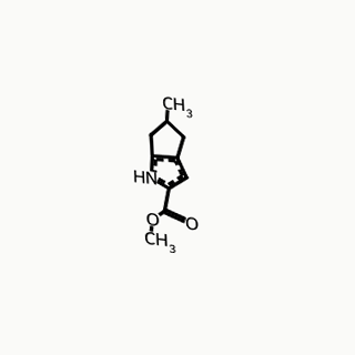 COC(=O)c1cc2c([nH]1)CC(C)C2